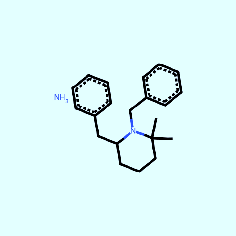 CC1(C)CCCC(Cc2ccccc2)N1Cc1ccccc1.N